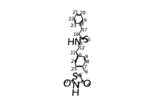 O=C1NC(=O)[C@@H](Cc2ccc(CCNC(=S)CCc3ccccc3)cc2)S1